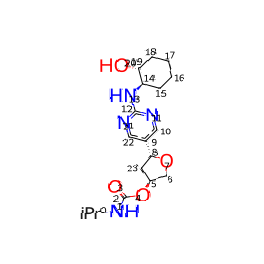 CC(C)NC(=O)O[C@@H]1CO[C@@H](c2cnc(N[C@@H]3CCCC[C@H]3O)nc2)C1